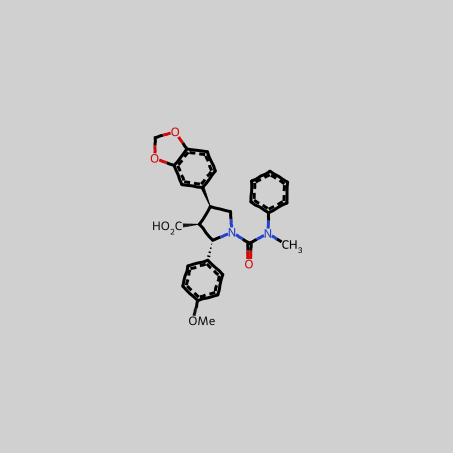 COc1ccc([C@@H]2[C@@H](C(=O)O)[C@@H](c3ccc4c(c3)OCO4)CN2C(=O)N(C)c2ccccc2)cc1